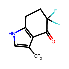 O=C1c2c(C(F)(F)F)c[nH]c2CCC1(F)F